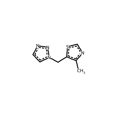 Cc1ncsc1Cn1ccnn1